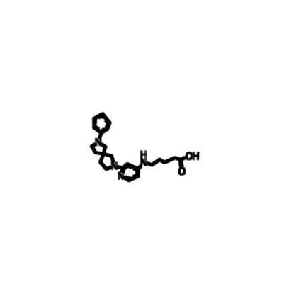 O=C(O)CCCCNc1ccnc(N2CCC3(CCN(c4ccccc4)C3)C2)c1